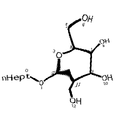 CCCCCCCOC1OC(CO)C(O)C(O)C1O